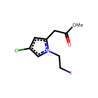 COC(=O)Cc1cc(Cl)cn1CCI